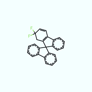 FC1(F)C=CC2=C(C1)C1(c3ccccc32)c2ccccc2-c2ccccc21